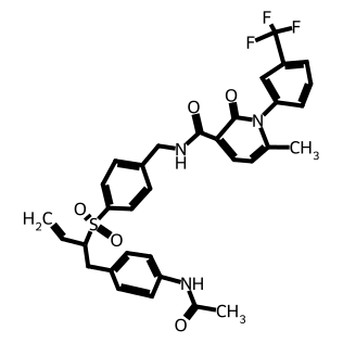 C=CC(Cc1ccc(NC(C)=O)cc1)S(=O)(=O)c1ccc(CNC(=O)c2ccc(C)n(-c3cccc(C(F)(F)F)c3)c2=O)cc1